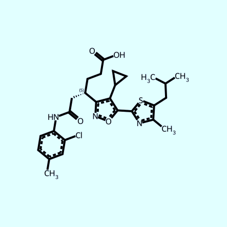 Cc1ccc(NC(=O)C[C@H](CCC(=O)O)c2noc(-c3nc(C)c(CC(C)C)s3)c2C2CC2)c(Cl)c1